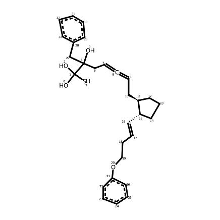 OC(O)(S)C(O)(CC=C=CC[C@H]1CCC[C@@H]1/C=C/CCOc1ccccc1)Cc1ccccc1